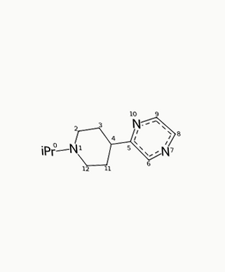 CC(C)N1CCC(c2cnccn2)CC1